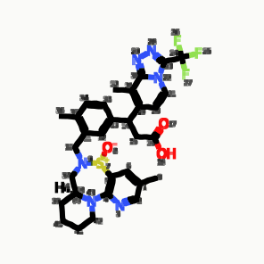 Cc1cnc2c(c1)[S+]([O-])N(Cc1cc(C(CC(=O)O)c3ccn4c(C(F)(F)F)nnc4c3C)ccc1C)C[C@@H]1CCCCN21